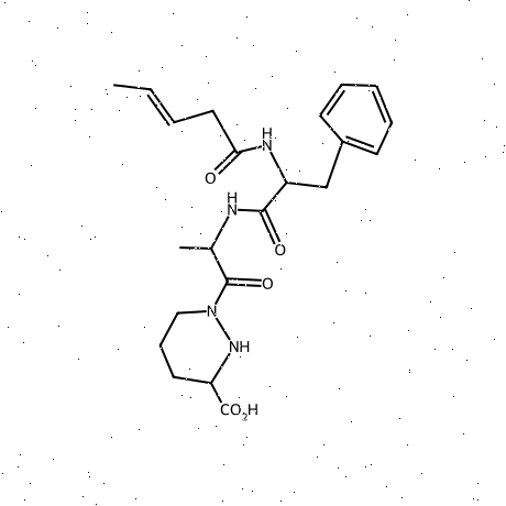 C/C=C/CC(=O)NC(Cc1ccccc1)C(=O)NC(C)C(=O)N1CCCC(C(=O)O)N1